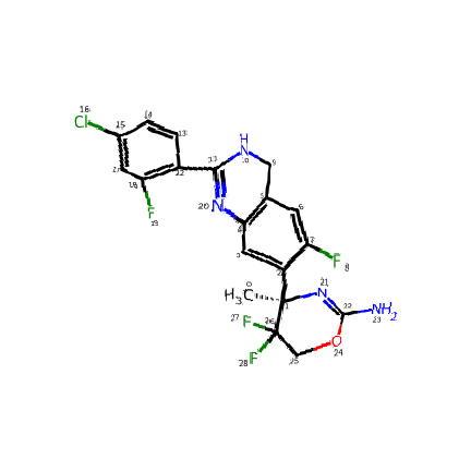 C[C@]1(c2cc3c(cc2F)CNC(c2ccc(Cl)cc2F)=N3)N=C(N)OCC1(F)F